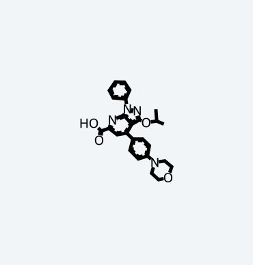 CC(C)Oc1nn(-c2ccccc2)c2nc(C(=O)O)cc(-c3ccc(N4CCOCC4)cc3)c12